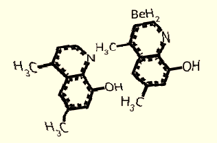 Cc1cc(O)c2nccc(C)c2c1.Cc1cc(O)c2nccc(C)c2c1.[BeH2]